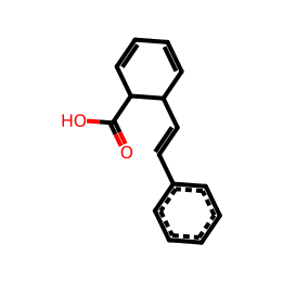 O=C(O)C1C=CC=CC1C=Cc1ccccc1